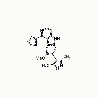 COc1cc2c(cc1-c1c(C)noc1C)[nH]c1ncnc(-c3ccoc3)c12